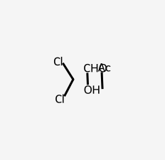 CC(C)=O.ClCCl.O=CO